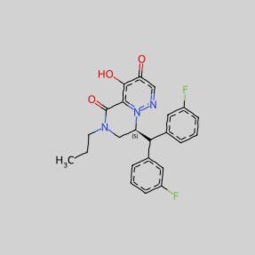 CCCN1C[C@H](C(c2cccc(F)c2)c2cccc(F)c2)n2ncc(=O)c(O)c2C1=O